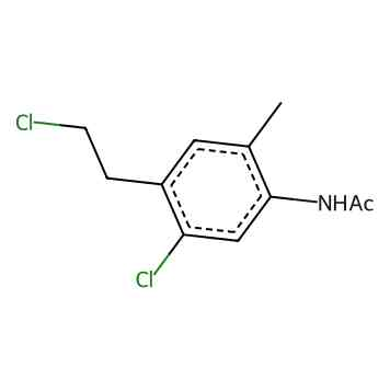 CC(=O)Nc1cc(Cl)c(CCCl)cc1C